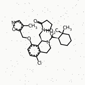 Cc1cnoc1COc1ccc(Cl)c2c1[C@@H](CN1CCCC1=O)N(C(=O)[C@@H]1CCCC[C@]1(C)C(=O)O)CC2